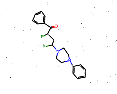 O=C(c1ccccc1)C(F)CC(F)N1CCN(c2ccccc2)CC1